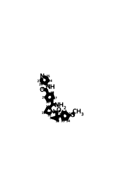 COc1ccc(C2(C(=O)N3CCCC3C(N)c3ccc(C(=O)Nc4ccncc4)cc3)CC2)cc1